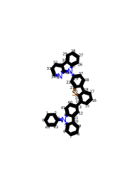 c1ccc(-n2c3ccccc3c3cc(-c4cccc5c4sc4cc(-n6c7ccccc7c7cccnc76)ccc45)ccc32)cc1